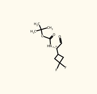 CC(C)(C)OC(=O)N[C@H](C=O)C1CC(F)(F)C1